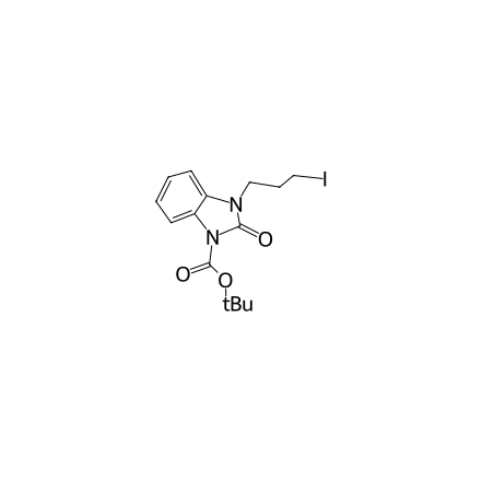 CC(C)(C)OC(=O)n1c(=O)n(CCCI)c2ccccc21